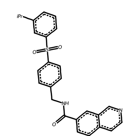 CC(C)c1cccc(S(=O)(=O)c2ccc(CNC(=O)c3ccc4ccncc4c3)cc2)c1